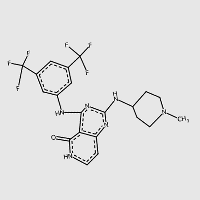 CN1CCC(Nc2nc(Nc3cc(C(F)(F)F)cc(C(F)(F)F)c3)c3c(=O)[nH]ccc3n2)CC1